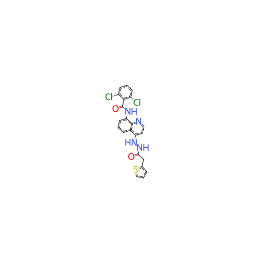 O=C(Cc1cccs1)NNc1ccnc2c(NC(=O)c3c(Cl)cccc3Cl)cccc12